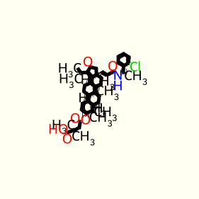 CC(C)C1=C2[C@H]3CC[C@@H]4[C@@]5(C)CC[C@H](OC(=O)CC(C)(C)C(=O)O)C(C)(C)[C@@H]5CC[C@@]4(C)[C@]3(C)CC[C@@]2(C=CC(=O)N[C@@H](C)c2ccccc2Cl)CC1=O